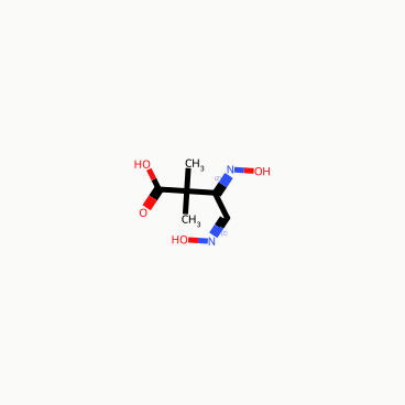 CC(C)(C(=O)O)C(/C=N\O)=N/O